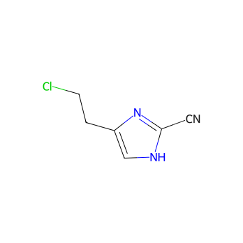 N#Cc1nc(CCCl)c[nH]1